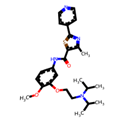 COc1ccc(NC(=O)c2sc(-c3ccncc3)nc2C)cc1OCCN(C(C)C)C(C)C